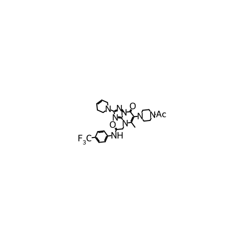 CC(=O)N1CCN(c2c(C)n(CC(=O)Nc3ccc(C(F)(F)F)cc3)c3nc(N4CC=CCC4)nn3c2=O)CC1